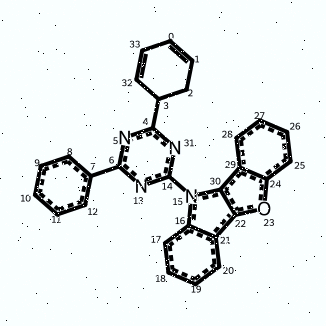 C1=CCC(c2nc(-c3ccccc3)nc(-n3c4ccccc4c4oc5ccccc5c43)n2)C=C1